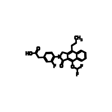 CCCc1c2c(c(OC(F)F)c3ccccc13)C(=O)N(c1ccc(CC(=O)O)cc1F)C2